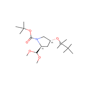 COC(OC)[C@@H]1C[C@@H](O[Si](C)(C)C(C)(C)C)CN1C(=O)OC(C)(C)C